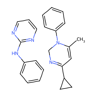 CC1=CC(C2CC2)=NCN1c1ccccc1.c1ccc(Nc2ncccn2)cc1